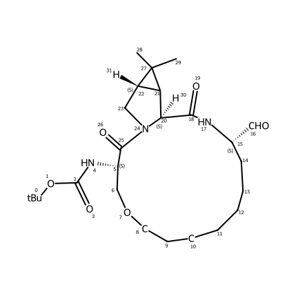 CC(C)(C)OC(=O)N[C@H]1COCCCCCCC[C@@H](C=O)NC(=O)[C@@H]2C3[C@H](CN2C1=O)C3(C)C